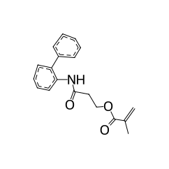 C=C(C)C(=O)OCCC(=O)Nc1ccccc1-c1ccccc1